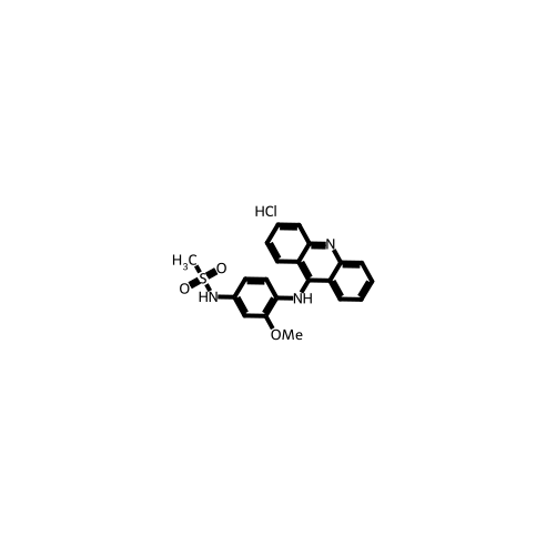 COc1cc(NS(C)(=O)=O)ccc1Nc1c2ccccc2nc2ccccc12.Cl